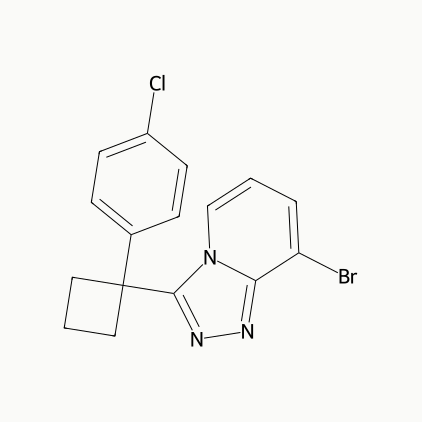 Clc1ccc(C2(c3nnc4c(Br)cccn34)CCC2)cc1